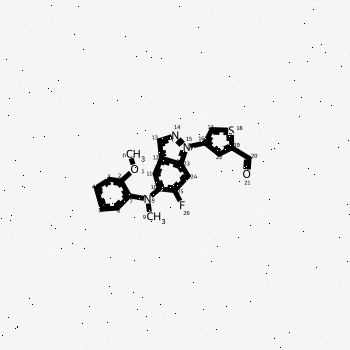 COc1ccccc1N(C)c1cc2cnn(-c3csc(C=O)c3)c2cc1F